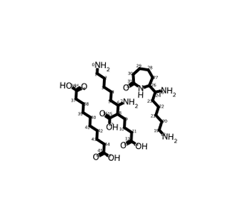 NCCCCCC(N)C(CCCC(=O)O)C(=O)O.NCCCCCC(N)C1CCCCC(=O)N1.O=C(O)CCCCCCCCC(=O)O